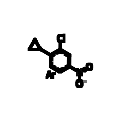 O=[N+]([O-])c1ccc(C2CC2)c(Cl)c1.[Ar]